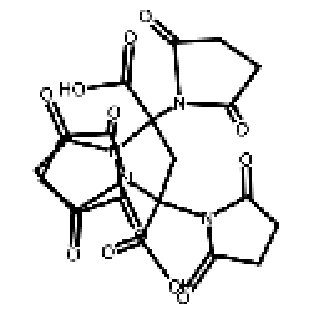 O=C1CCC(=O)N1C(CC(C(=O)O)(N1C(=O)CCC1=O)N1C(=O)CCC1=O)(C(=O)O)N1C(=O)CCC1=O